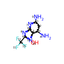 Nc1cc(N)c2c(n1)nc(C(F)(F)F)n2O